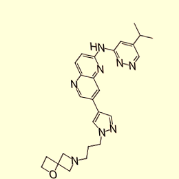 CC(C)c1cnnc(Nc2ccc3ncc(-c4cnn(CCCN5CC6(CCO6)C5)c4)cc3n2)c1